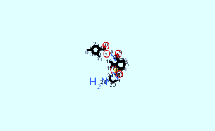 Cc1ccc(C(=O)OCn2cc(C)c3c(S(=O)(=O)N4CC[C@@H](N)C4)cccc3c2=O)c(C)c1